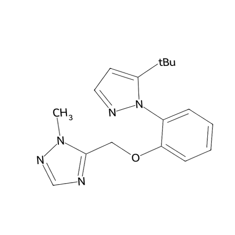 Cn1ncnc1COc1ccccc1-n1nccc1C(C)(C)C